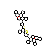 c1ccc(-c2c3ccccc3c(-c3ccc4c(c3)sc3c5sc6cc(-c7c8ccccc8c(-c8ccccc8-c8cccc9ccccc89)c8ccccc78)ccc6c5c5ccccc5c43)c3ccccc23)c(-c2cccc3ccccc23)c1